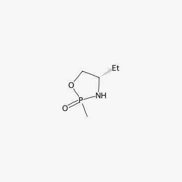 CC[C@H]1COP(C)(=O)N1